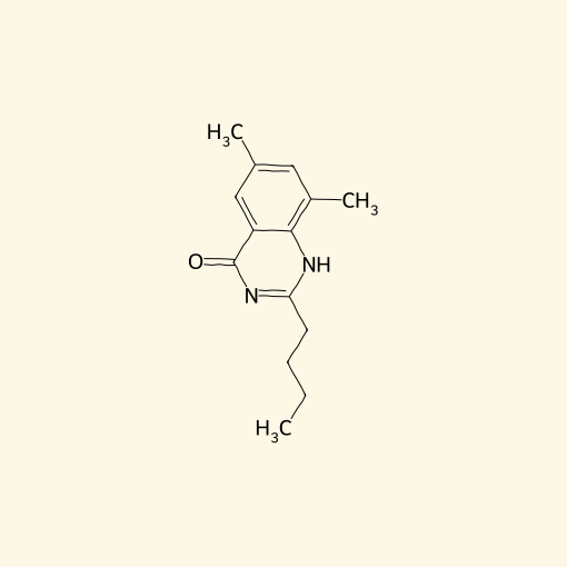 CCCCc1nc(=O)c2cc(C)cc(C)c2[nH]1